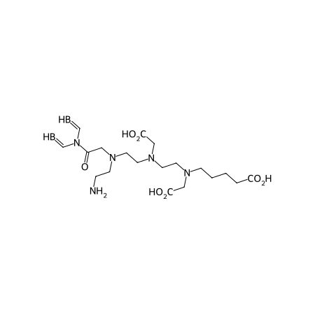 B=CN(C=B)C(=O)CN(CCN)CCN(CCN(CCCCC(=O)O)CC(=O)O)CC(=O)O